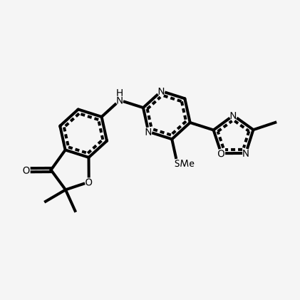 CSc1nc(Nc2ccc3c(c2)OC(C)(C)C3=O)ncc1-c1nc(C)no1